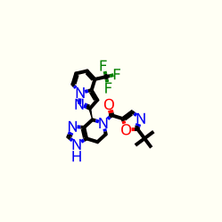 CC(C)(C)c1ncc(C(=O)N2CCc3[nH]cnc3[C@H]2c2cc3c(C(F)(F)F)cccn3n2)o1